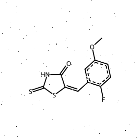 COc1ccc(F)c(C=C2SC(=S)NC2=O)c1